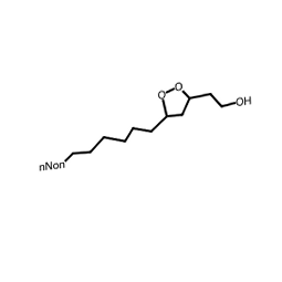 CCCCCCCCCCCCCCCC1CC(CCO)OO1